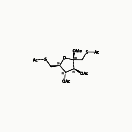 CO[C@]1(CSC(C)=O)O[C@H](CSC(C)=O)[C@@H](OC(C)=O)[C@@H]1OC(C)=O